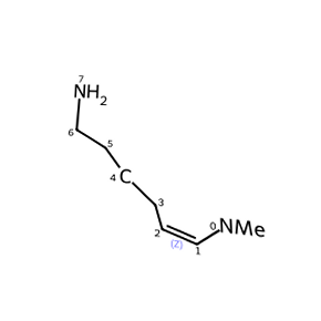 CN/C=C\CCCCN